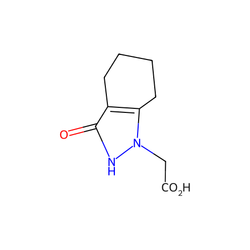 O=C(O)Cn1[nH]c(=O)c2c1CCCC2